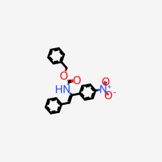 O=C(N/C(=C\c1ccccc1)c1ccc([N+](=O)[O-])cc1)OCc1ccccc1